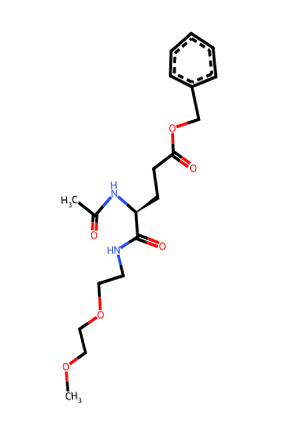 COCCOCCNC(=O)[C@H](CCC(=O)OCc1ccccc1)NC(C)=O